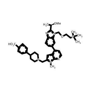 CO[C@H](C)c1nc2ccc(-c3ccnc4c3cc(CN3CCC(c5ccc(C(=O)O)cc5)CC3)n4C)cc2n1COCC[Si](C)(C)C